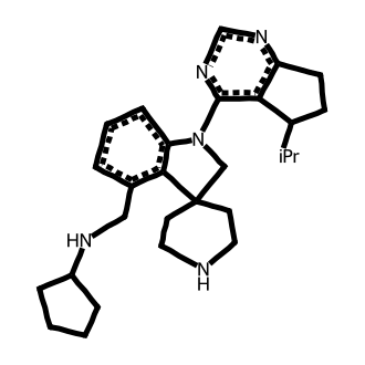 CC(C)C1CCc2ncnc(N3CC4(CCNCC4)c4c(CNC5CCCC5)cccc43)c21